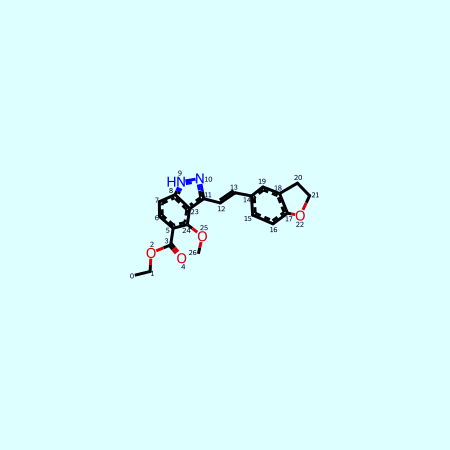 CCOC(=O)c1ccc2[nH]nc(C=Cc3ccc4c(c3)CCO4)c2c1OC